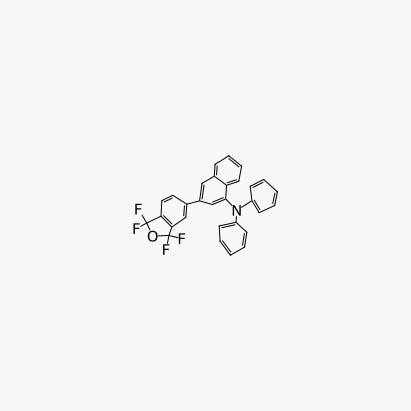 FC1(F)OC(F)(F)c2cc(-c3cc(N(c4ccccc4)c4ccccc4)c4ccccc4c3)ccc21